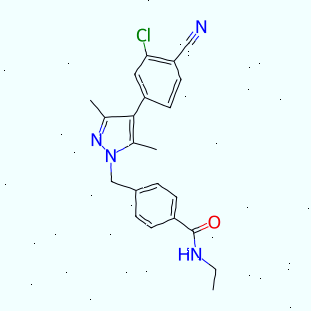 CCNC(=O)c1ccc(Cn2nc(C)c(-c3ccc(C#N)c(Cl)c3)c2C)cc1